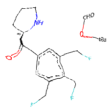 CC(C)(C)OC=O.O=C(c1cc(CF)c(CF)c(CF)c1)[C@H]1CCCN1